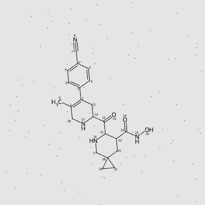 CC1=C(c2ccc(C#N)cc2)CC(C(=O)C2NCC3(CC3)CC2C(=O)NO)NC1